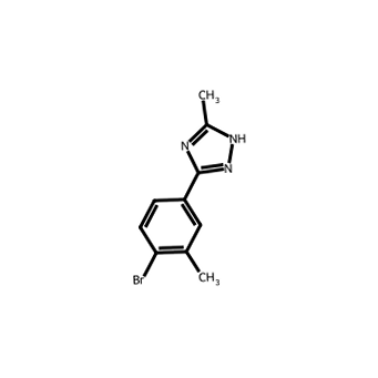 Cc1nc(-c2ccc(Br)c(C)c2)n[nH]1